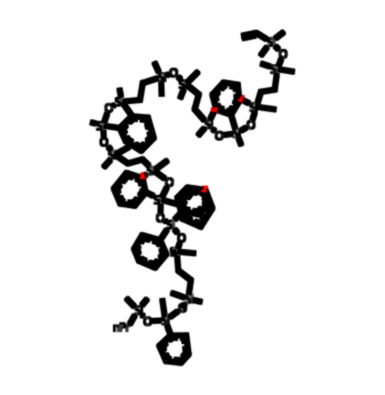 C=C[Si](C)(C)O[Si](C)(C)CC[Si](C)(C)O[Si](C)(O[Si](C)(C)CC[Si](C)(C)O[Si](C)(C)CC[Si](C)(C)O[Si](C)(O[Si](C)(C)CC[Si](C)(C)O[Si](O[Si](O[Si](C)(C)CC[Si](C)(C)O[Si](C)(O[Si](C)(C)CCC)c1ccccc1)(c1ccccc1)c1ccccc1)(c1ccccc1)c1ccccc1)c1ccccc1)c1ccccc1